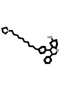 Oc1ccc2c(c1)C(c1ccc(CCCCCCCCCCN3CCCC3)cc1)C(c1ccccc1)CO2